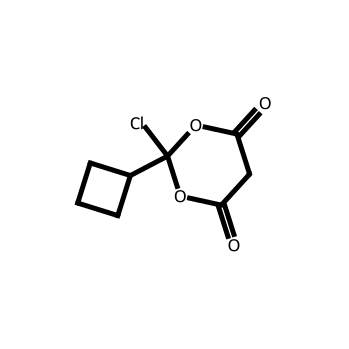 O=C1CC(=O)OC(Cl)(C2CCC2)O1